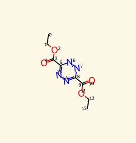 CCOC(=O)c1nnc(C(=O)OCC)nn1